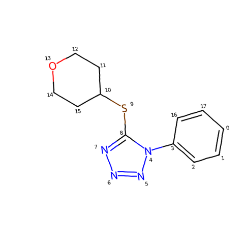 c1ccc(-n2nnnc2SC2CCOCC2)cc1